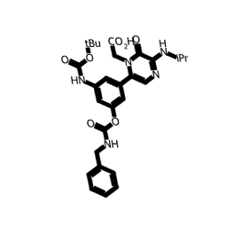 CC(C)Nc1ncc(-c2cc(NC(=O)OC(C)(C)C)cc(OC(=O)NCc3ccccc3)c2)n(CC(=O)O)c1=O